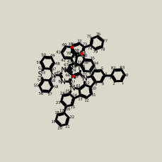 c1ccc(-c2ccc3c(c2)c2ccc4c5cc(-c6ccccc6)ccc5n(-c5nc(N6c7ccccc7Sc7ccccc76)nc(N6c7ccccc7Sc7ccccc76)n5)c4c2n3-c2cccc(-c3cccc(-c4ccccc4)n3)n2)cc1